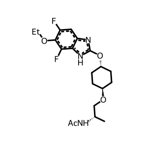 CCOc1c(F)cc2nc(O[C@H]3CC[C@H](OC[C@H](C)NC(C)=O)CC3)[nH]c2c1F